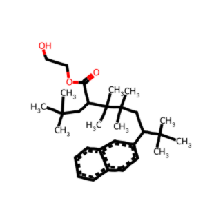 CC(C)(C)CC(C(=O)OCCO)C(C)(C)C(C)(C)CC(c1ccc2ccccc2c1)C(C)(C)C